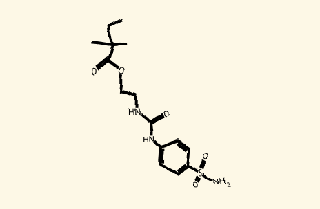 CCC(C)(C)C(=O)OCCNC(=O)Nc1ccc(S(N)(=O)=O)cc1